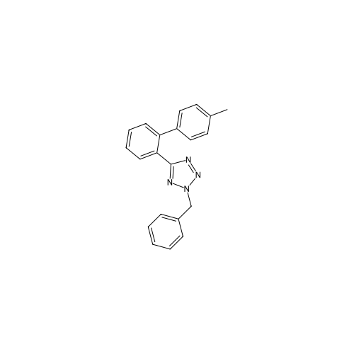 Cc1ccc(-c2ccccc2-c2nnn(Cc3ccccc3)n2)cc1